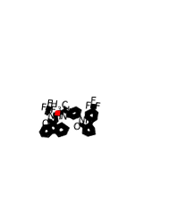 Cn1c(CCCC2(C(=O)NCC(F)(F)F)c3ccccc3-c3ccccc32)nc2cc(NC(=O)c3ccccc3-c3ccc(C(F)(F)F)cc3)ccc21